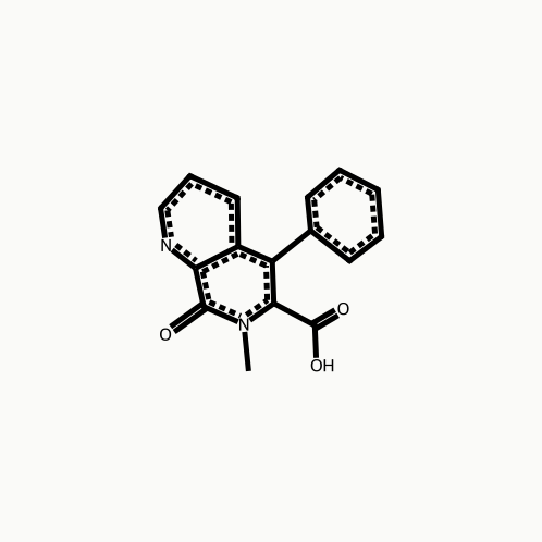 Cn1c(C(=O)O)c(-c2ccccc2)c2cccnc2c1=O